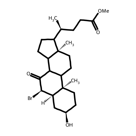 COC(=O)CC[C@H](C)C1CCC2C3C(=O)[C@H](Br)[C@@H]4C[C@H](O)CC[C@]4(C)C3CC[C@@]21C